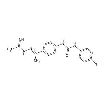 CC(=N)N/N=C(\C)c1ccc(NC(=O)Nc2ccc(I)cc2)cc1